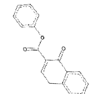 O=C(Oc1ccccc1)C1=CCc2ccccc2C1=O